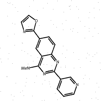 CNc1nc(-c2cccnc2)nc2ccc(-c3ncco3)cc12